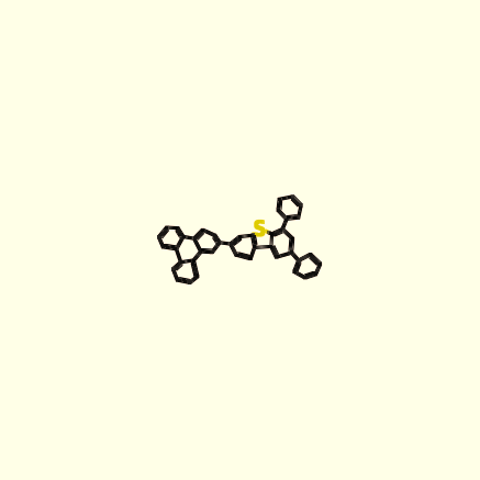 c1ccc(-c2cc(-c3ccccc3)c3sc4cc(-c5ccc6c7ccccc7c7ccccc7c6c5)ccc4c3c2)cc1